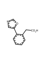 O=C(O)Cc1ccccc1-c1cnco1